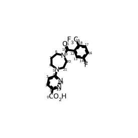 O=C(O)c1ccc(N2CCCN(C(=O)c3cc(F)ccc3C(F)(F)F)CC2)nn1